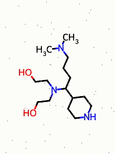 CN(C)CCCC(C1CCNCC1)N(CCO)CCO